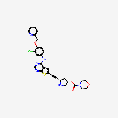 O=C(O[C@@H]1CN[C@H](C#Cc2cc3c(Nc4ccc(OCc5ccccn5)c(Cl)c4)ncnc3s2)C1)N1CCOCC1